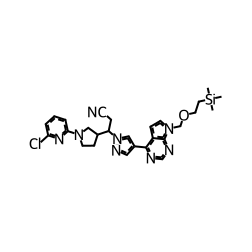 C[Si](C)(C)CCOCn1ccc2c(-c3cnn(C(CC#N)C4CCN(c5cccc(Cl)n5)C4)c3)ncnc21